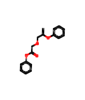 C=C(COCC(=O)Oc1ccccc1)Oc1ccccc1